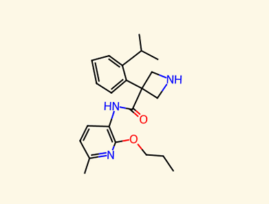 CCCOc1nc(C)ccc1NC(=O)C1(c2ccccc2C(C)C)CNC1